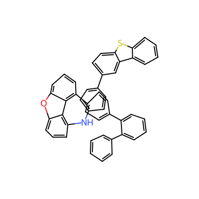 c1ccc(-c2ccccc2-c2ccc(-c3cccc4oc5cccc(Nc6ccc(-c7ccc8sc9ccccc9c8c7)cc6)c5c34)cc2)cc1